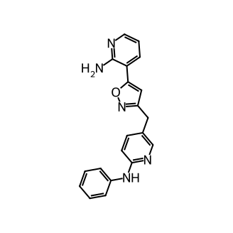 Nc1ncccc1-c1cc(Cc2ccc(Nc3ccccc3)nc2)no1